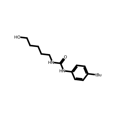 CC(C)(C)c1ccc(NC(=O)NCCCCCO)cc1